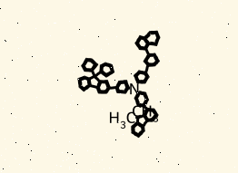 CC1(C)c2ccccc2-c2cccc(-c3ccc(N(c4ccc(-c5cccc(-c6cccc7ccccc67)c5)cc4)c4ccc(-c5ccc6c(c5)C(c5ccccc5)(c5ccccc5)c5ccccc5-6)cc4)cc3)c21